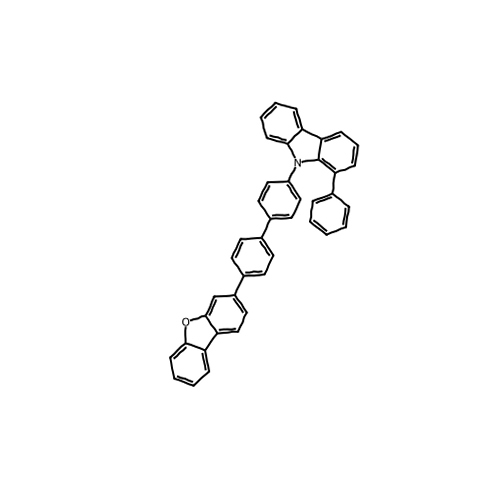 c1ccc(-c2cccc3c4ccccc4n(-c4ccc(-c5ccc(-c6ccc7c(c6)oc6ccccc67)cc5)cc4)c23)cc1